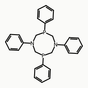 c1ccc(N2CP(c3ccccc3)CN(c3ccccc3)CP(c3ccccc3)C2)cc1